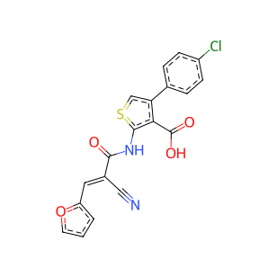 N#C/C(=C\c1ccco1)C(=O)Nc1scc(-c2ccc(Cl)cc2)c1C(=O)O